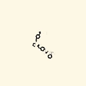 O=C(Nc1ccc(CC(=O)N2C[C@@H](F)C[C@H]2COc2ccc(C(=O)O)cc2)cc1Cl)Nc1ccccc1Br